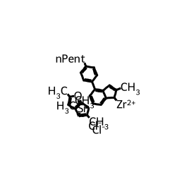 CC1=C2c3cc(C)oc3C1[Si]2(C)C.CCCCCc1ccc(-c2cccc3c2C=C(C)[CH]3[Zr+2])cc1.[Cl-].[Cl-]